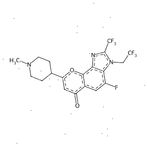 CN1CCC(c2cc(=O)c3cc(F)c4c(nc(C(F)(F)F)n4CC(F)(F)F)c3o2)CC1